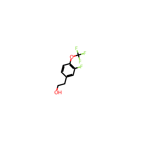 OCCc1ccc(OC(F)(F)F)c(F)c1